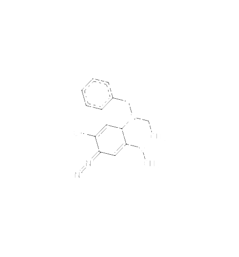 CCN(Cc1ccccc1)C1C=C(Cl)C(=[N+]=[N-])C=C1OC